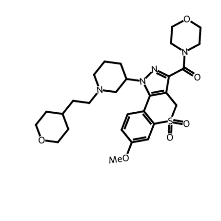 COc1ccc2c(c1)S(=O)(=O)Cc1c(C(=O)N3CCOCC3)nn(C3CCCN(CCC4CCOCC4)C3)c1-2